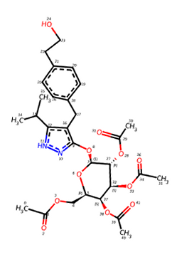 CC(=O)OC[C@H]1O[C@@H](Oc2n[nH]c(C(C)C)c2Cc2ccc(CCO)cc2)[C@H](OC(C)=O)[C@@H](OC(C)=O)[C@H]1OC(C)=O